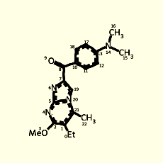 CCc1c(OC)nc2nc(C(=O)c3ccc(N(C)C)cc3)cn2c1C